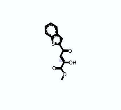 COC(=O)/C(O)=C/C(=O)c1cc2ccccc2s1